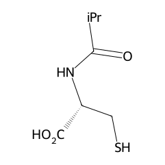 CC(C)C(=O)N[C@H](CS)C(=O)O